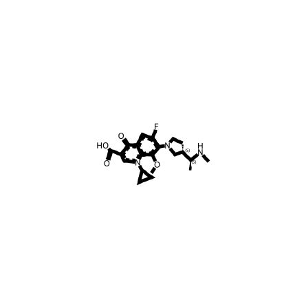 CN[C@@H](C)[C@H]1CCN(c2c(F)cc3c(=O)c(C(=O)O)cn(C4CC4)c3c2OC)C1